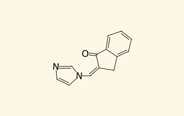 O=C1C(=Cn2ccnc2)Cc2ccccc21